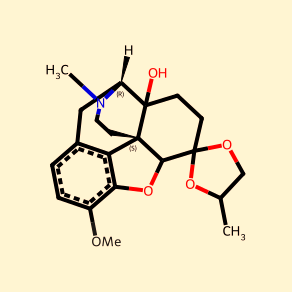 COc1ccc2c3c1OC1C4(CCC5(O)[C@@H](C2)N(C)CC[C@]315)OCC(C)O4